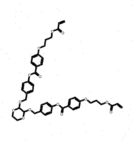 C=CC(=O)OCCCOc1ccc(C(=O)Oc2ccc(COC3OCCOC3OCc3ccc(OC(=O)c4ccc(OCCCOC(=O)C=C)cc4)cc3)cc2)cc1